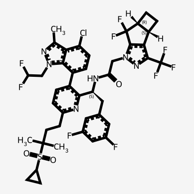 Cc1nn(CC(F)F)c2c(-c3ccc(CCC(C)(C)S(=O)(=O)C4CC4)nc3[C@H](Cc3cc(F)cc(F)c3)NC(=O)Cn3nc(C(F)(F)F)c4c3C(F)(F)[C@@H]3CC[C@H]43)ccc(Cl)c12